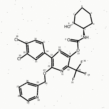 O=C(N[C@@H]1CCCC[C@H]1O)Oc1nc(-c2ccc(Cl)c(Cl)c2)c(OCc2ccccn2)nc1C(F)(F)F